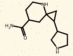 NC(=O)C1CCNC2(C1)CC2C1CCNC1